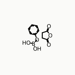 O=C1CCC(=O)O1.OB(O)Oc1ccccc1